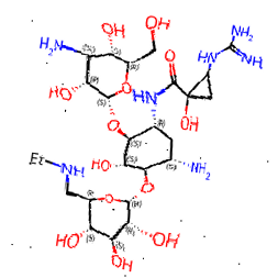 CCNC[C@H]1O[C@H](OC2[C@@H](N)C[C@@H](NC(=O)C3(O)CC3NC(=N)N)[C@H](O[C@H]3O[C@H](CO)[C@@H](O)[C@H](N)[C@H]3O)[C@H]2O)[C@H](O)[C@@H](O)[C@@H]1O